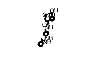 O=C(O)CN1C(=O)CCC(CC(=O)NCc2ccc(Nc3nc4ccccc4[nH]3)cc2)c2ccccc21